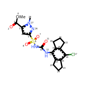 COC(=O)c1cc(S(=O)(=O)NC(=O)Nc2c3c(c(Cl)c4c2CCC4)CCC3)nn1C